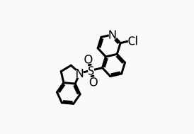 O=S(=O)(c1cccc2c(Cl)nccc12)N1CCc2ccccc21